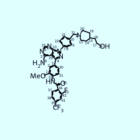 COc1cc(-c2nn(-c3ccc(CN4CCC(CCO)CC4)cc3)c3ncnc(N)c23)ccc1NC(=O)c1ccc(C(F)(F)F)cc1F